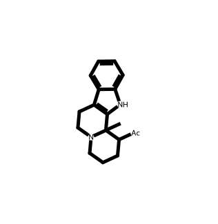 CC(=O)C1CCCN2CCc3c([nH]c4ccccc34)C12C